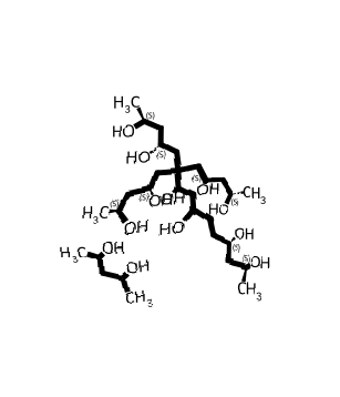 CC(O)CC(C)O.C[C@H](O)C[C@@H](O)CC(C[C@H](O)C[C@H](C)O)(C[C@H](O)C[C@H](C)O)C(O)CC(O)CC[C@H](O)C[C@H](C)O